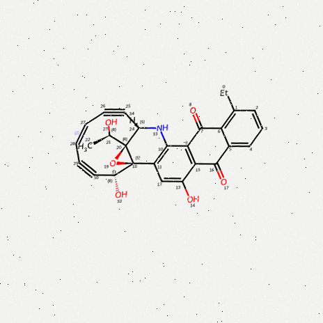 CCc1cccc2c1C(=O)c1c3c(cc(O)c1C2=O)[C@@]12O[C@@]1([C@@H](C)O)[C@H](C#C/C=C\C#C[C@H]2O)N3